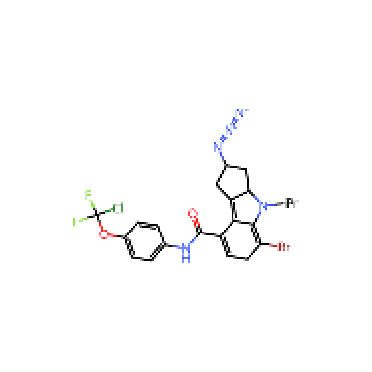 CC(C)N1C2=C(Br)CC=C(C(=O)Nc3ccc(OC(F)(F)Cl)cc3)C2=C2CC(N=[N+]=[N-])CC21